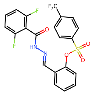 O=C(NN=Cc1ccccc1OS(=O)(=O)c1ccc(C(F)(F)F)cc1)c1c(F)cccc1F